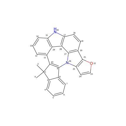 CC1(C)c2ccccc2-c2c1c1cccc3[nH]c4ccc5c6occc6n2c5c4c31